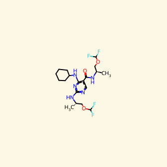 C[C@H](COC(F)F)NC(=O)c1cnc(N[C@@H](C)COC(F)F)nc1NC1CCCCC1